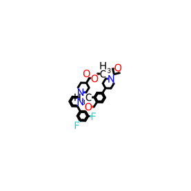 CCOC(=O)C1CCN(c2cccc(-c3cc(F)cc(F)c3OCc3ccc(C4CCN(C5COC5)CC4)cc3C)n2)CC1